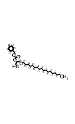 CCCCCCCCCCCCCCCCCCOCC(CO)OC(=O)OCc1ccccc1